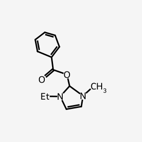 CCN1C=CN(C)C1OC(=O)c1ccccc1